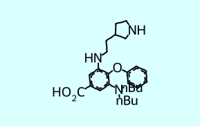 CCCCN(CCCC)c1cc(C(=O)O)cc(NCCC2CCNC2)c1Oc1ccccc1